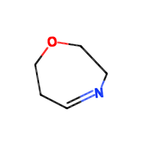 C1=NCCOCC1